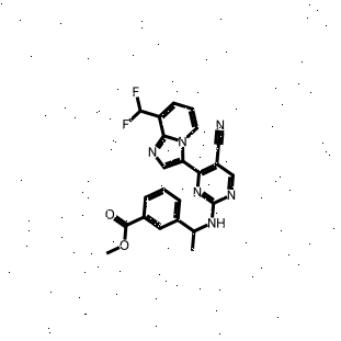 COC(=O)c1cccc(C(C)Nc2ncc(C#N)c(-c3cnc4c(C(F)F)cccn34)n2)c1